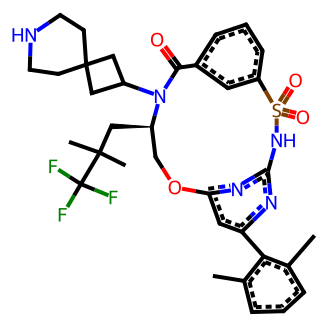 Cc1cccc(C)c1-c1cc2nc(n1)NS(=O)(=O)c1cccc(c1)C(=O)N(C1CC3(CCNCC3)C1)[C@H](CC(C)(C)C(F)(F)F)CO2